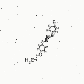 C=CCOc1ccc(C=NN=Cc2ccc(F)cc2)cc1